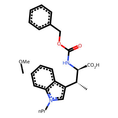 CCCn1cc([C@@H](C)[C@@H](NC(=O)OCc2ccccc2)C(=O)O)c2ccccc21.COC